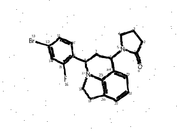 O=C1CCCN1C1CC(c2ccc(Br)cc2F)N2CCc3cccc1c32